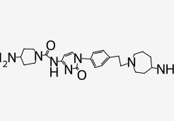 NC1CCCN(CCc2ccc(-n3ccc(NC(=O)N4CCC(N)CC4)nc3=O)cc2)CC1